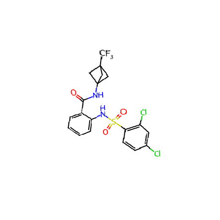 O=C(NC12CC(C(F)(F)F)(C1)C2)c1ccccc1NS(=O)(=O)c1ccc(Cl)cc1Cl